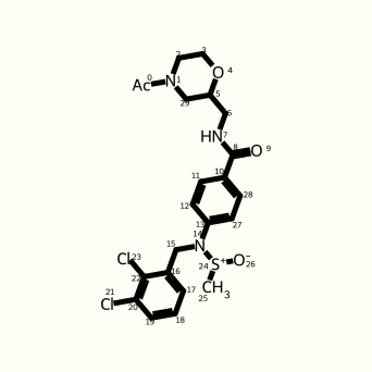 CC(=O)N1CCOC(CNC(=O)c2ccc(N(Cc3cccc(Cl)c3Cl)[S+](C)[O-])cc2)C1